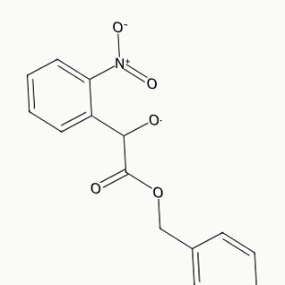 [O]C(C(=O)OCc1ccccc1)c1ccccc1[N+](=O)[O-]